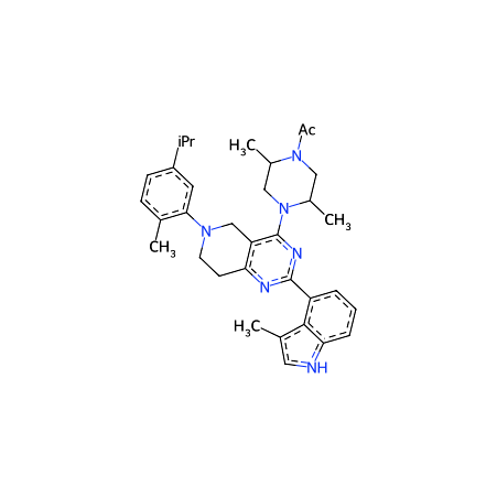 CC(=O)N1CC(C)N(c2nc(-c3cccc4[nH]cc(C)c34)nc3c2CN(c2cc(C(C)C)ccc2C)CC3)CC1C